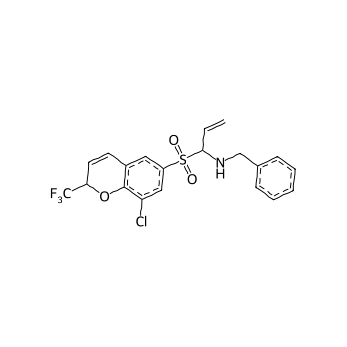 C=CC(NCc1ccccc1)S(=O)(=O)c1cc(Cl)c2c(c1)C=CC(C(F)(F)F)O2